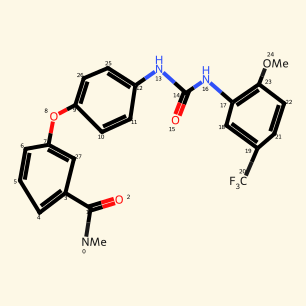 CNC(=O)c1cccc(Oc2ccc(NC(=O)Nc3cc(C(F)(F)F)ccc3OC)cc2)c1